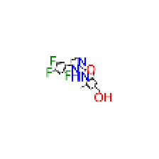 Cc1cc(CO)cc(C)c1NC(=O)c1nccc(-c2cc(F)c(F)cc2F)n1